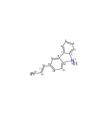 CCn1c2ccccc2c2cc(/C=C/C(C)C)ccc21